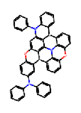 c1ccc(N(c2ccccc2)c2ccc3c(c2)B2c4cccc5c4N4c6c(cccc6B6c7ccccc7N(c7ccccc7)c7cc(c2c4c76)O3)O5)cc1